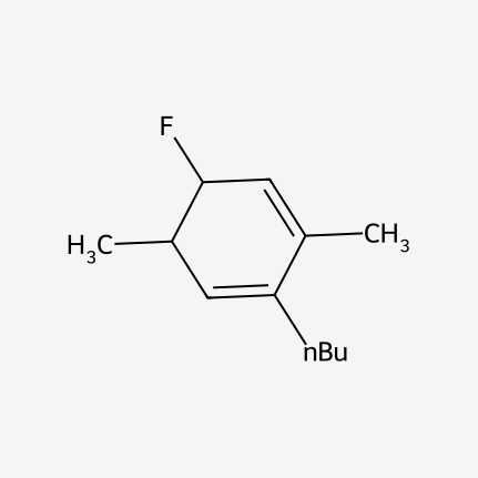 CCCCC1=CC(C)C(F)C=C1C